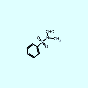 CN(C=O)S(=O)(=O)c1ccccc1